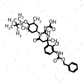 C[C@H]1C[C@@H](N2C(=O)C[C@@](C)(c3cccc(NC(=O)OCc4ccccc4)c3Cl)N/C2=N\C(=O)O)CCC1O[Si](C)(C)C(C)(C)C